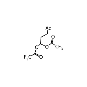 CC(=O)CCC(OC(=O)C(F)(F)F)OC(=O)C(F)(F)F